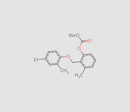 CCc1ccc(OCc2c(C)cccc2OC(=O)OC)c(C)c1